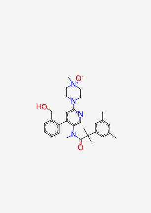 Cc1cc(C)cc(C(C)(C)C(=O)N(C)c2cnc(N3CC[N+](C)([O-])CC3)cc2-c2ccccc2CO)c1